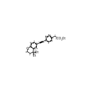 CCOC(=O)Cc1ccc(C#Cc2ccc3c(c2)C(CC)(CC)CCO3)nn1